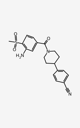 CS(=O)(=O)c1ccc(C(=O)N2CCC(c3ccc(C#N)cc3)CC2)cc1N